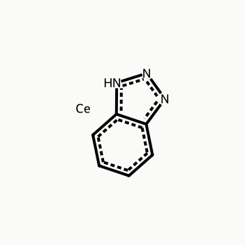 [Ce].c1ccc2[nH]nnc2c1